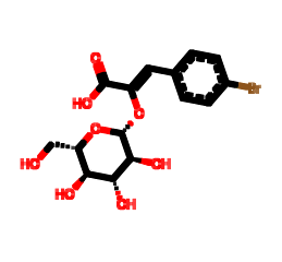 O=C(O)/C(=C/c1ccc(Br)cc1)O[C@H]1O[C@@H](CO)[C@H](O)[C@@H](O)[C@@H]1O